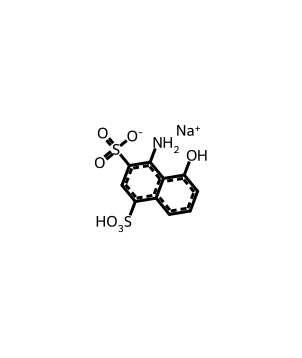 Nc1c(S(=O)(=O)[O-])cc(S(=O)(=O)O)c2cccc(O)c12.[Na+]